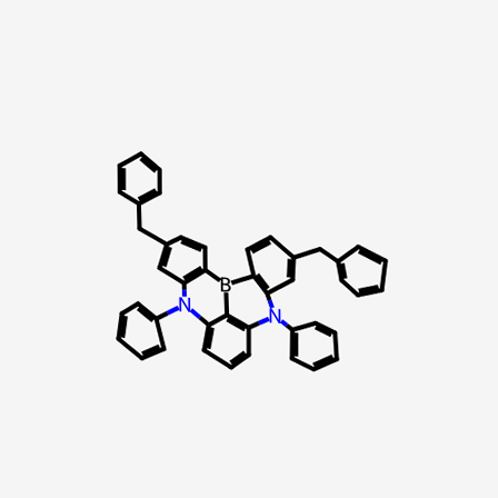 c1ccc(Cc2ccc3c(c2)N(c2ccccc2)c2cccc4c2B3c2ccc(Cc3ccccc3)cc2N4c2ccccc2)cc1